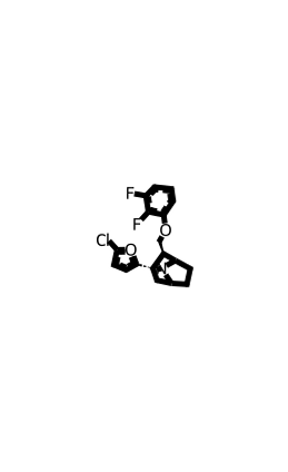 CN1C2CCC1[C@H](COc1cccc(F)c1F)[C@@H](c1ccc(Cl)o1)C2